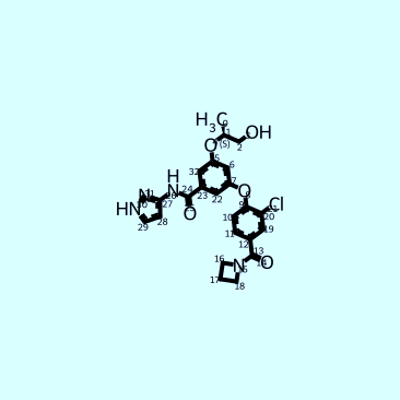 C[C@@H](CO)Oc1cc(Oc2ccc(C(=O)N3CCC3)cc2Cl)cc(C(=O)Nc2cc[nH]n2)c1